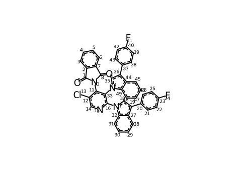 O=C1c2ccccc2C(=O)N1c1c(Cl)cnc(-n2cc(-c3ccc(F)cc3)c3ccccc32)c1-n1cc(-c2ccc(F)cc2)c2ccccc21